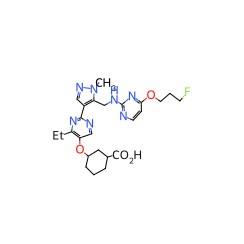 CCc1nc(-c2cnn(C)c2CNc2nccc(OCCCF)n2)ncc1OC1CCCC(C(=O)O)C1